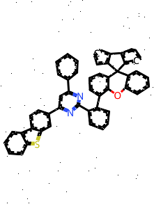 c1ccc(-c2cc(-c3ccc4c(c3)sc3ccccc34)nc(-c3ccccc3-c3cccc4c3Oc3ccccc3C43c4ccccc4-c4ccccc43)n2)cc1